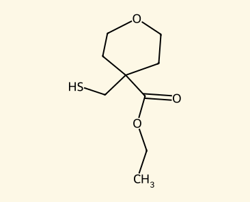 CCOC(=O)C1(CS)CCOCC1